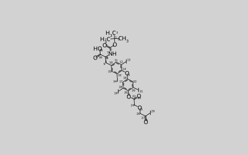 CC(C)(C)OC(=O)N[C@@H](Cc1cc(I)c(Oc2cc(I)c(OC(=O)COCC(=O)I)c(I)c2)c(I)c1)C(=O)O